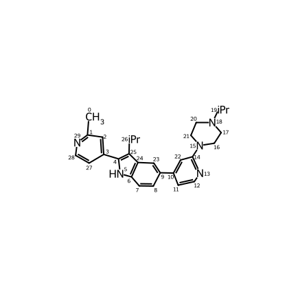 Cc1cc(-c2[nH]c3ccc(-c4ccnc(N5CCN(C(C)C)CC5)c4)cc3c2C(C)C)ccn1